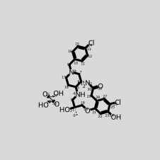 C[C@](O)(CNC1CCN(Cc2ccc(Cl)cc2)CC1)COc1cc(O)c(Cl)cc1CC(N)=O.O=S(=O)(O)O